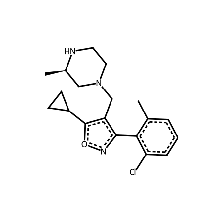 Cc1cccc(Cl)c1-c1noc(C2CC2)c1CN1CCN[C@H](C)C1